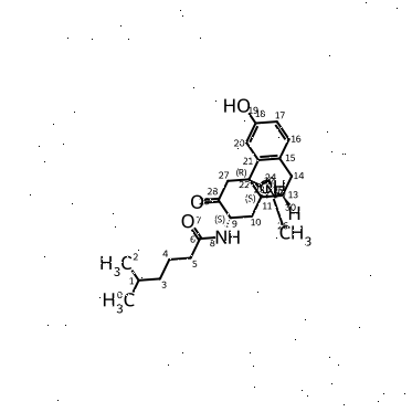 CC(C)CCCC(=O)N[C@H]1C[C@@]2(O)[C@H]3Cc4ccc(O)cc4[C@@]2(CCN3C)CC1=O